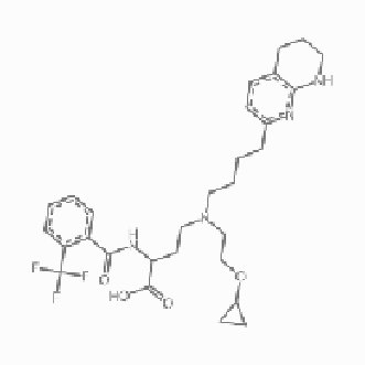 O=C(NC(CCN(CCCCc1ccc2c(n1)NCCC2)CCOC1CC1)C(=O)O)c1ccccc1C(F)(F)F